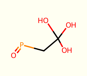 O=PCC(O)(O)O